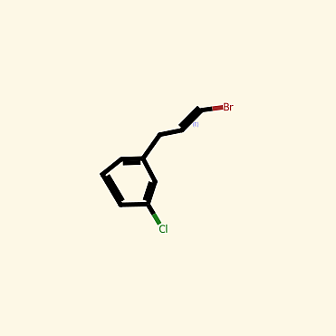 Clc1cccc(C/C=C/Br)c1